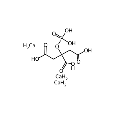 O=C(O)CC(CC(=O)O)(OP(=O)(O)O)C(=O)O.[CaH2].[CaH2].[CaH2]